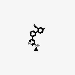 N#Cc1cc(F)ccc1-c1cccc(-c2cnnc(NC3CC3)c2)c1